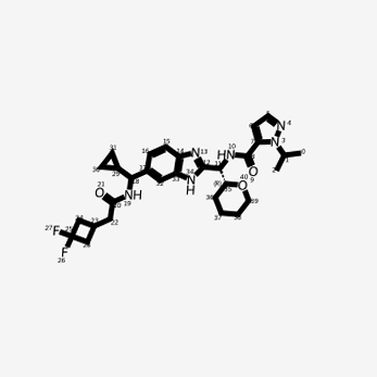 CC(C)n1nccc1C(=O)NC(c1nc2ccc(C(NC(=O)CC3CC(F)(F)C3)C3CC3)cc2[nH]1)[C@H]1CCCCO1